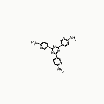 Nc1ccc(-c2nc(-c3ccc(N)nc3)nc(-c3ccc(N)nc3)n2)cn1